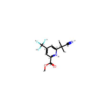 COC(=O)c1cc(C(F)(F)F)cc(C(C)(C)C#N)n1